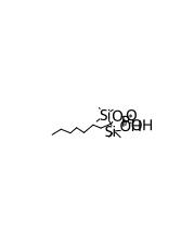 CCCCCCCC(OP(=O)(O)O)([Si](C)(C)C)[Si](C)(C)C